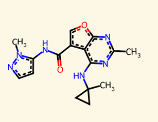 Cc1nc(NC2(C)CC2)c2c(C(=O)Nc3ccnn3C)coc2n1